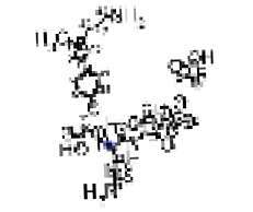 C[n+]1cc(-c2ccc(OC[C@H](O/N=C(\C(=O)NC3C(=O)N(OS(=O)(=O)[O-])C3(C)C)c3csc(N)n3)C(=O)O)cc2)cn1CCCN.O=C(O)C(F)(F)F